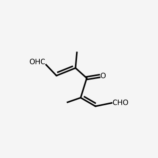 CC(=CC=O)C(=O)C(C)=CC=O